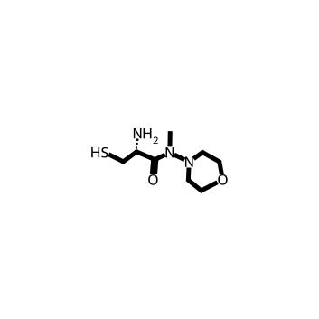 CN(C(=O)[C@@H](N)CS)N1CCOCC1